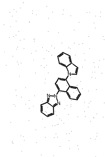 c1ccc2c(c1)ccn2-c1ccc(-n2nc3ccccc3n2)c2ccccc12